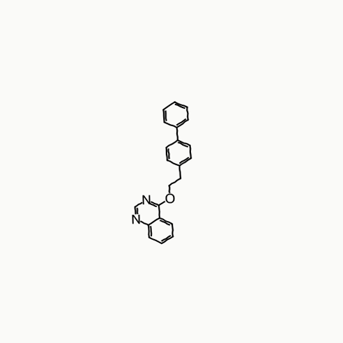 c1ccc(-c2ccc(CCOc3ncnc4ccccc34)cc2)cc1